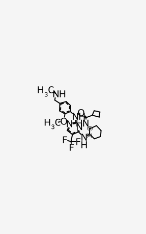 CNCc1ccc(Nc2ncc(C(F)(F)F)c(N[C@@H]3CCCC[C@H]3NC(=O)C3CCC3)n2)c(OC)c1